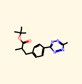 Cc1nnc(-c2ccc(CC(C)C(=O)OC(C)(C)C)cc2)nn1